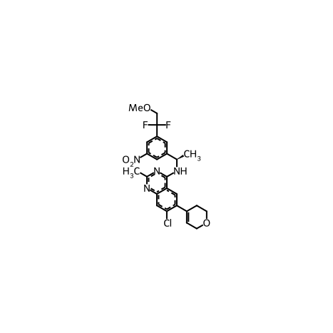 COCC(F)(F)c1cc([C@@H](C)Nc2nc(C)nc3cc(Cl)c(C4=CCOCC4)cc23)cc([N+](=O)[O-])c1